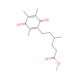 COC(=O)CCC(C)CCC1=C(C)C(=O)C(C)=C(C)C1=O